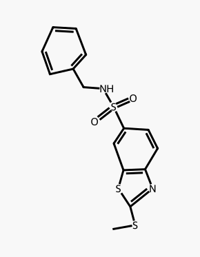 CSc1nc2ccc(S(=O)(=O)NCc3ccccc3)cc2s1